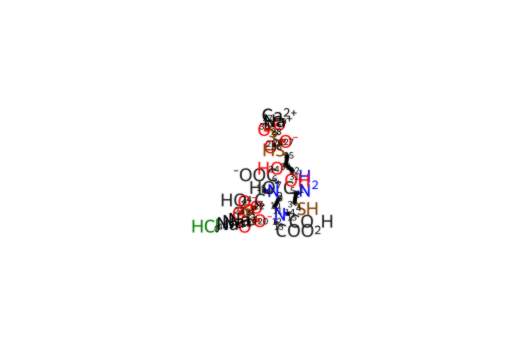 Cl.NC(CS)C(=O)O.O=C([O-])CN(CCN(CC(=O)[O-])CC(=O)O)CC(=O)O.O=S([O-])S(=O)(=O)[O-].O=S([O-])S(=O)[O-].OCC(O)CS.[Ca+2].[Na+].[Na+].[Na+].[Na+]